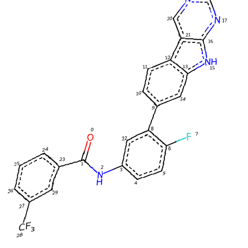 O=C(Nc1ccc(F)c(-c2ccc3c(c2)[nH]c2ncncc23)c1)c1cccc(C(F)(F)F)c1